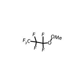 COOC(F)(F)C(F)(F)C(F)(F)F